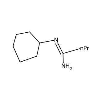 CCCC(N)=NC1CCCCC1